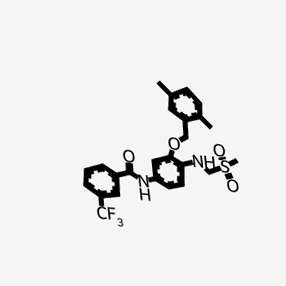 Cc1ccc(C)c(COc2cc(NC(=O)c3cccc(C(F)(F)F)c3)ccc2NCS(C)(=O)=O)c1